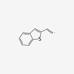 [CH]=Cc1cc2ccccc2s1